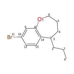 CCC[C]1CCCOc2cc(Br)ccc21